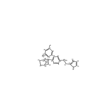 Cc1ccc([C@]2(c3ccc(OCc4nccs4)cc3)CC3CC[C@@H]2C3)cc1